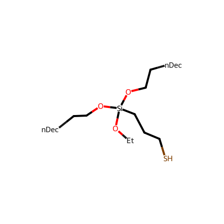 CCCCCCCCCCCCO[Si](CCCS)(OCC)OCCCCCCCCCCCC